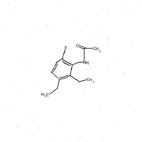 CCc1ccc(F)c(NC(C)=O)c1CC